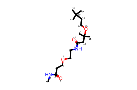 CNC(=O)CCOCCNC(=O)CC(C)(C)OCCC(C)(C)C